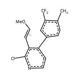 CO/C=C/c1c(-c2ccc(C)c(C(F)(F)F)c2)ccnc1Cl